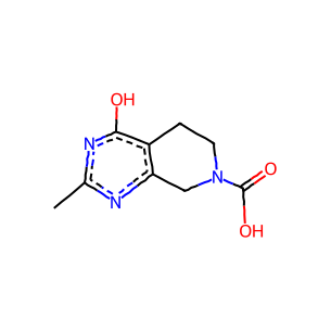 Cc1nc(O)c2c(n1)CN(C(=O)O)CC2